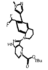 Cn1cc(-c2cc3c(cc2C(F)F)N(c2n[nH]c4c2CN(C(=O)OC(C)(C)C)CC4)CCC3)cn1